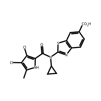 Cc1[nH]c(C(=O)N(c2nc3ccc(C(=O)O)cc3s2)C2CC2)c(Cl)c1Cl